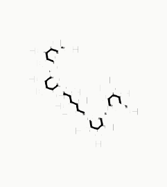 OC[C@H]1O[C@@H](OC[C@H]2O[C@@H](OC[C@@H](O)[C@@H](O)[C@H](O)[C@H](O)CO[C@@H]3O[C@H](CO[C@@H]4O[C@H](CO)[C@@H](O)[C@H](O)[C@H]4O)[C@@H](O)[C@H](O)[C@H]3O)[C@H](O)[C@@H](O)[C@@H]2O)[C@H](O)[C@@H](O)[C@@H]1O